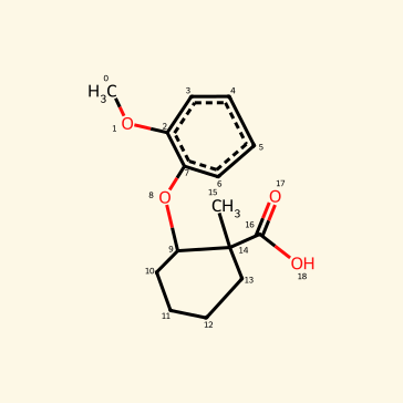 COc1ccccc1OC1CCCCC1(C)C(=O)O